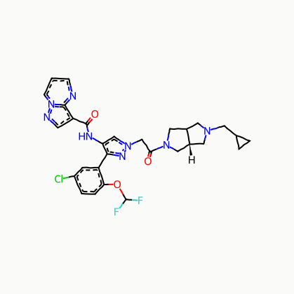 O=C(Nc1cn(CC(=O)N2CC3CN(CC4CC4)C[C@@H]3C2)nc1-c1cc(Cl)ccc1OC(F)F)c1cnn2cccnc12